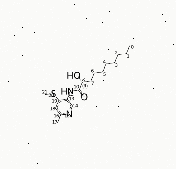 CCCCCCCC[C@@H](O)C(=O)Nc1cnc(C)cc1SC